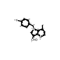 Cc1ccnc2c(C=O)cn(Cc3ccc(F)cc3)c12